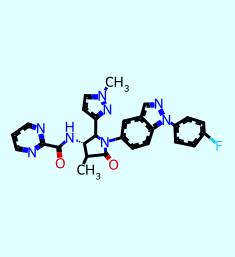 CC1C(=O)N(c2ccc3c(cnn3-c3ccc(F)cc3)c2)C(c2ccn(C)n2)[C@H]1NC(=O)c1ncccn1